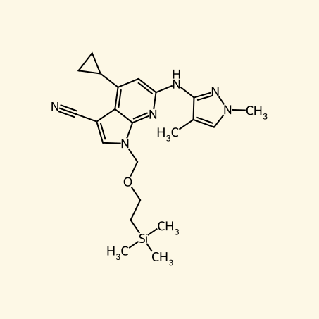 Cc1cn(C)nc1Nc1cc(C2CC2)c2c(C#N)cn(COCC[Si](C)(C)C)c2n1